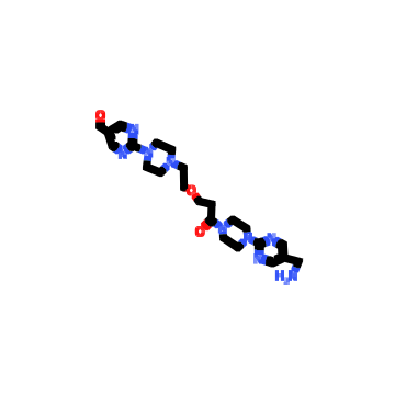 NCc1cnc(N2CCN(C(=O)CCOCCN3CCN(c4ncc(C=O)cn4)CC3)CC2)nc1